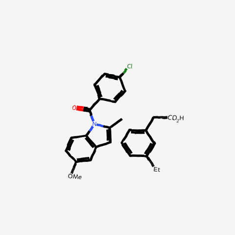 CCc1cccc(CC(=O)O)c1.COc1ccc2c(c1)cc(C)n2C(=O)c1ccc(Cl)cc1